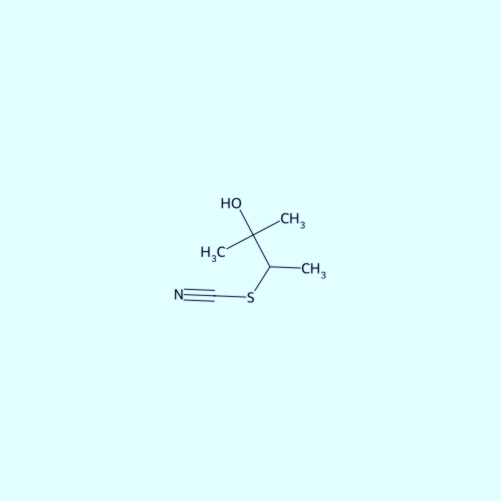 CC(SC#N)C(C)(C)O